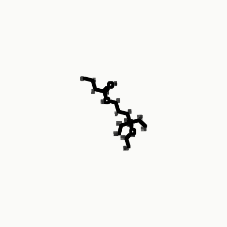 CCCC(=O)OCCC[Si](CC)(CC)OCC